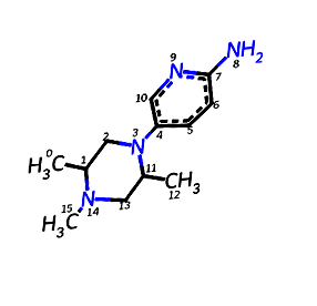 CC1CN(c2ccc(N)nc2)C(C)CN1C